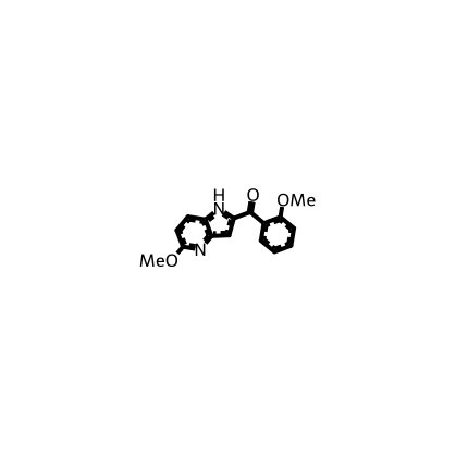 COc1ccc2[nH]c(C(=O)c3ccccc3OC)cc2n1